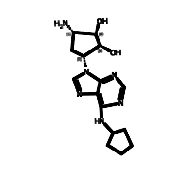 N[C@H]1C[C@@H](n2cnc3c(NC4CCCC4)ncnc32)[C@H](O)[C@@H]1O